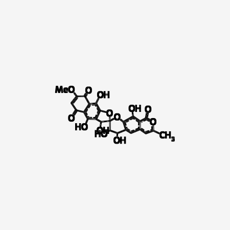 COC1=CC(=O)c2c(O)c3c(c(O)c2C1=O)OC1(Oc2c(cc4cc(C)oc(=O)c4c2O)C(O)C1O)C3O